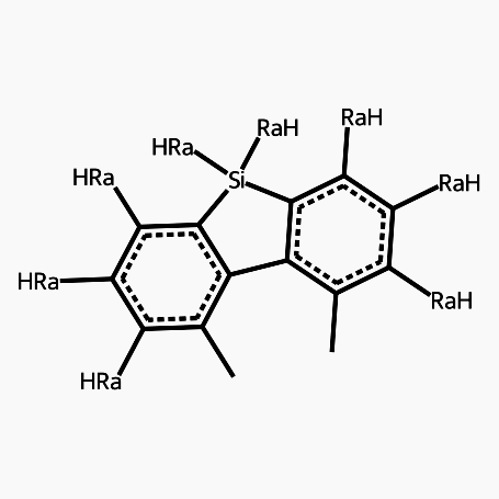 Cc1[c]([RaH])[c]([RaH])[c]([RaH])c2c1-c1c(C)[c]([RaH])[c]([RaH])[c]([RaH])c1[Si]2([RaH])[RaH]